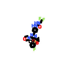 C[C@H]1COCCN1c1cc(C2(S(=O)(=O)c3cccc(F)c3)CC2)nc(-c2ccc(NC(=O)NCC(F)F)cc2)n1